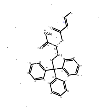 C/C=C/C(=O)C[C@H](NCC(c1ccccc1)(c1ccccc1)c1ccccc1)C(=O)OC